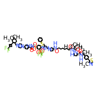 Cc1ncsc1-c1ccc([C@H](C)NC(=O)[C@@H]2CCCN2C(=O)C(NC(=O)CCCCCCC(=O)N[C@H]2CCN(CC[C@H](CSc3ccccc3)Nc3ccc(S(=O)(=O)NC(=O)c4ccc(N5CCN(CC6=C(C78CC(C(F)F)(C7)C8)CC(C)(C)CC6)CC5)cc4)cc3S(=O)(=O)C(F)(F)F)C2)C(C)(C)C)cc1